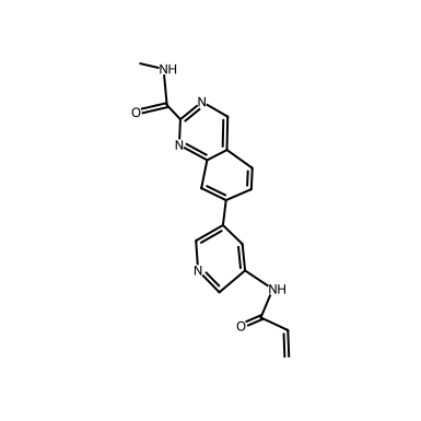 C=CC(=O)Nc1cncc(-c2ccc3cnc(C(=O)NC)nc3c2)c1